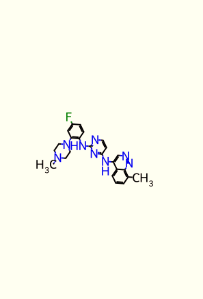 Cc1cccc2c(Nc3ccnc(Nc4ccc(F)cc4N4CCN(C)CC4)n3)cnnc12